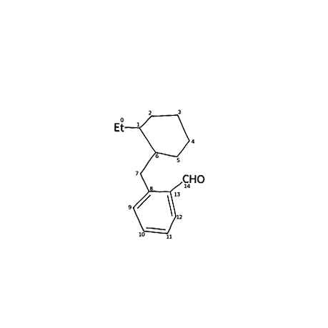 CCC1CCCCC1Cc1ccccc1C=O